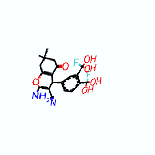 CC1(C)CC(=O)C2=C(C1)OC(N)=C(C#N)C2c1ccc(C(O)(O)F)c(C(O)(O)F)c1